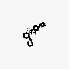 O=C(NC1CCCCC1CN1CCCCC1)c1ccc(-n2cccc2)cc1